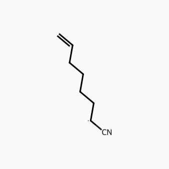 C=CCCCC[CH]C#N